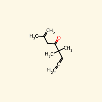 C=C=CC(C)(C)C(=O)CC(=C)C